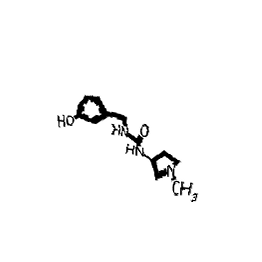 CN1CC[C@H](NC(=O)NCc2cccc(O)c2)C1